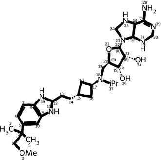 COCC(C)(C)c1ccc2c(c1)NC(CC[C@H]1C[C@H](N(C[C@H]3O[C@@H](N4CNC5C(N)=NCNC54)[C@H](O)[C@@H]3O)C(C)C)C1)N2